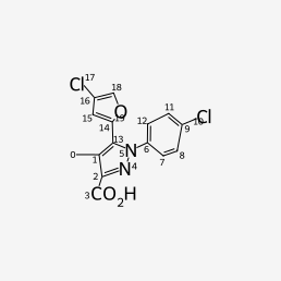 Cc1c(C(=O)O)nn(-c2ccc(Cl)cc2)c1-c1cc(Cl)co1